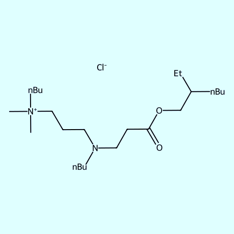 CCCCC(CC)COC(=O)CCN(CCCC)CCC[N+](C)(C)CCCC.[Cl-]